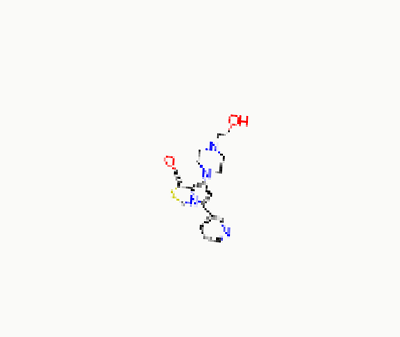 O=C=C1SCn2c(-c3cccnc3)cc(N3CCN(CCO)CC3)c21